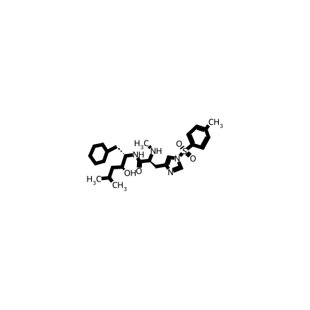 CN[C@@H](Cc1cn(S(=O)(=O)c2ccc(C)cc2)cn1)C(=O)N[C@@H](CC1CCCCC1)[C@@H](O)CC(C)C